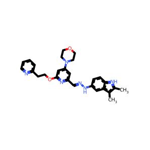 Cc1[nH]c2ccc(NN=Cc3cc(N4CCOCC4)cc(OCCc4ccccn4)n3)cc2c1C